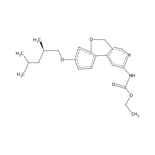 CCOC(=O)Nc1cc2c(cn1)COc1cc(OC[C@H](C)CC(C)C)ccc1-2